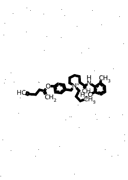 C#CCCC(=C)Oc1ccc(C[N+]2(CCCC)CCCCC2C(=C)Nc2c(C)cccc2C)cc1